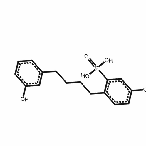 O=P(O)(O)c1cc(O)ccc1CCCCc1cccc(O)c1